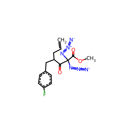 C=CCC(Cc1ccc(F)cc1)C(=O)C(N=[N+]=[N-])(N=[N+]=[N-])C(=O)OC